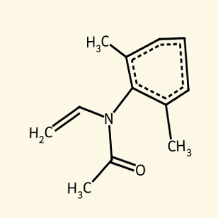 C=CN(C(C)=O)c1c(C)cccc1C